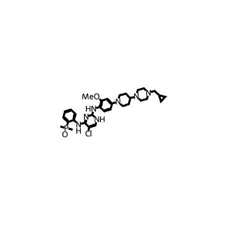 COc1cc(N2CCC(N3CCN(CC4CC4)CC3)CC2)ccc1NC1N=C(Nc2ccccc2P(C)(C)=O)C(Cl)=CN1